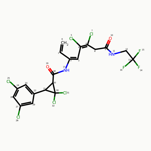 C=C/C(=C\C(Cl)=C(\Cl)CC(=O)NCC(F)(F)F)NC(=O)C1C(c2cc(Cl)cc(Cl)c2)C1(Cl)Cl